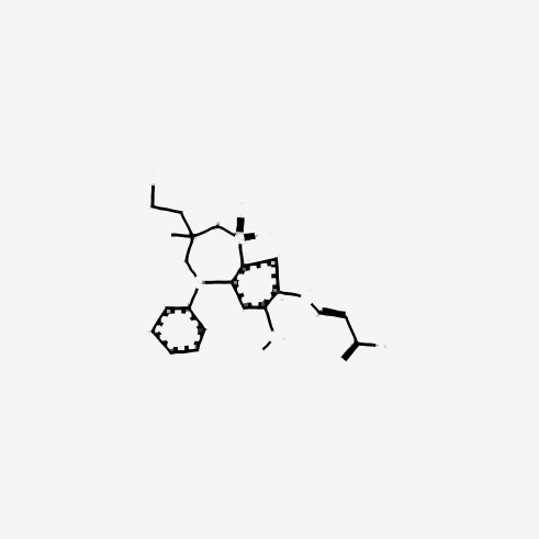 CCCC1(C)CN(c2ccccc2)c2cc(SC)c(O/C=C/C(=O)O)cc2S(=O)(=O)C1